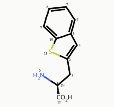 N[C@@H](Cc1cc2ccccc2s1)C(=O)O